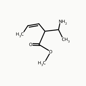 C/C=C\C(C(=O)OC)C(C)N